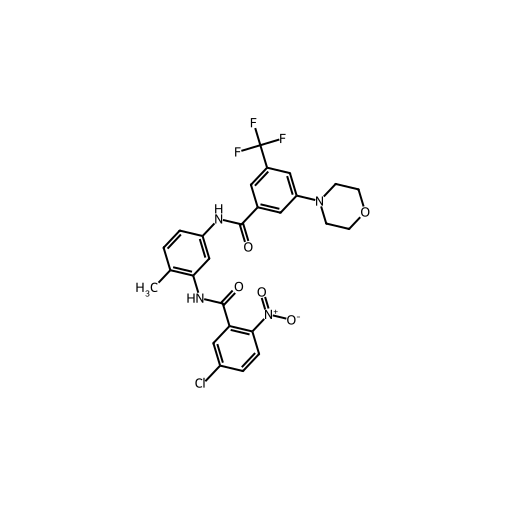 Cc1ccc(NC(=O)c2cc(N3CCOCC3)cc(C(F)(F)F)c2)cc1NC(=O)c1cc(Cl)ccc1[N+](=O)[O-]